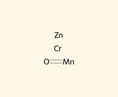 [Cr].[O]=[Mn].[Zn]